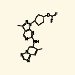 Cc1cc2ncnn2cc1Nc1ncc2c(C)nn(C3CCC(OC(F)F)CC3)c2n1